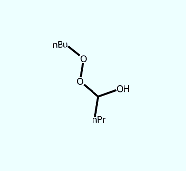 CCCCOOC(O)CCC